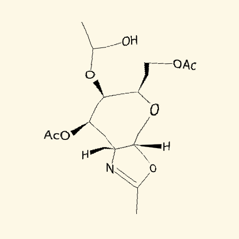 CC(=O)OC[C@H]1O[C@@H]2OC(C)=N[C@@H]2[C@@H](OC(C)=O)[C@H]1OC(C)O